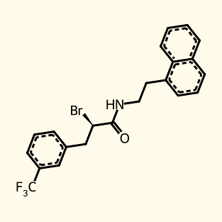 O=C(NCCc1cccc2ccccc12)[C@H](Br)Cc1cccc(C(F)(F)F)c1